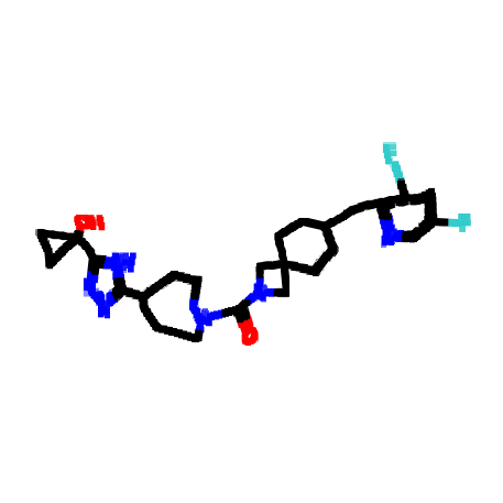 O=C(N1CCC(c2nnc(C3(O)CC3)[nH]2)CC1)N1CC2(CCC(Cc3ncc(F)cc3F)CC2)C1